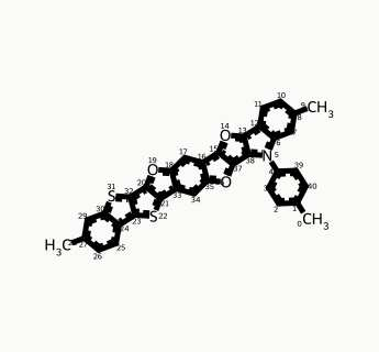 Cc1ccc(-n2c3cc(C)ccc3c3oc4c5cc6oc7c(sc8c9ccc(C)cc9sc78)c6cc5oc4c32)cc1